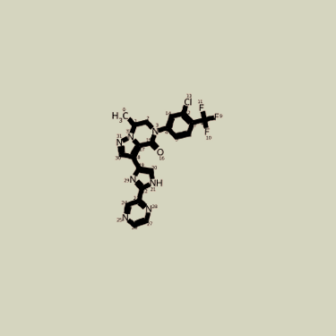 CC1CN(c2ccc(C(F)(F)F)c(Cl)c2)C(=O)c2c(-c3c[nH]c(-c4cnccn4)n3)cnn21